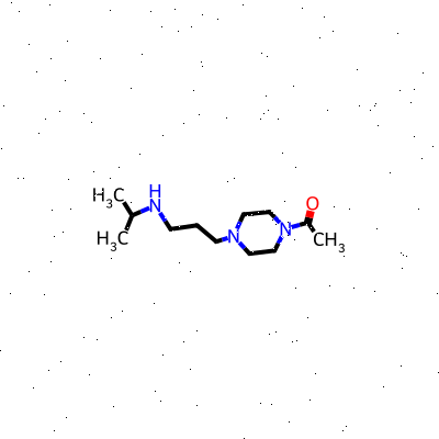 CC(=O)N1CCN(CCCNC(C)C)CC1